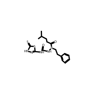 CC(C)CCC(=O)N(CCc1ccccc1)NC(=O)Nc1n[nH]c(=S)s1